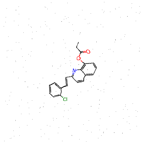 CCC(=O)Oc1cccc2ccc(/C=C/c3ccccc3Cl)nc12